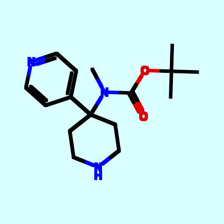 CN(C(=O)OC(C)(C)C)C1(c2ccncc2)CCNCC1